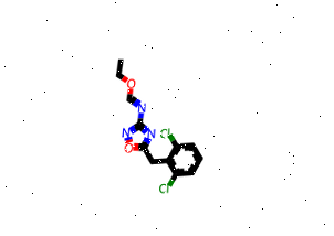 CCO/C=N/c1noc(Cc2c(Cl)cccc2Cl)n1